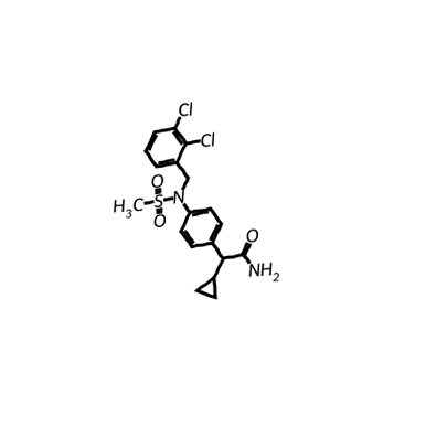 CS(=O)(=O)N(Cc1cccc(Cl)c1Cl)c1ccc(C(C(N)=O)C2CC2)cc1